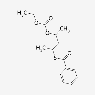 CCOC(=O)OC(C)CC(C)SC(=O)c1ccccc1